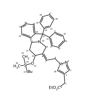 CCOC(=O)Cc1cnn(C/C=C2\CN(C(c3ccccc3)(c3ccccc3)c3ccccc3)CCC2O[Si](C)(C)C(C)(C)C)c1